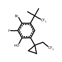 CC(C)(c1cc(C2(CC(F)(F)F)CC2)c(O)c(F)c1Br)C(F)(F)F